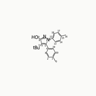 Cc1ccc(-c2c(C(C)(C)C)c(O)nn2-c2ccc(C)cc2)cc1